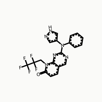 O=c1ccc2cnc(N(c3ccccc3)c3cn[nH]c3)nc2n1CC(F)(F)C(F)(F)F